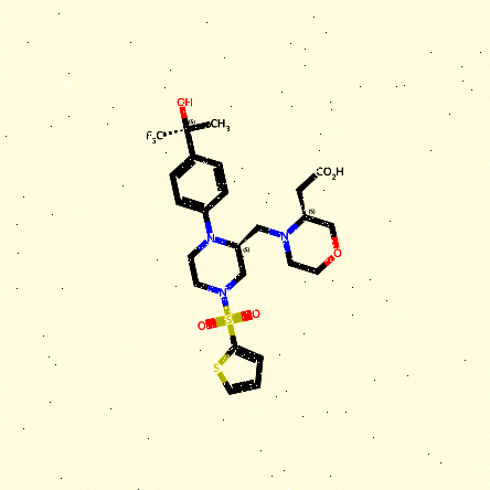 C[C@](O)(c1ccc(N2CCN(S(=O)(=O)c3cccs3)C[C@@H]2CN2CCOC[C@@H]2CC(=O)O)cc1)C(F)(F)F